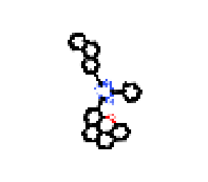 c1ccc(-c2nc(-c3ccc4c(ccc5ccccc54)c3)nc(-c3ccc4ccc5ccc6cccc7c6c5c4c3O7)n2)cc1